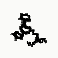 CN(C)CCSc1nc(-c2cccs2)cc(-c2cccs2)n1